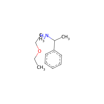 CC(N)c1ccccc1.CCOCC